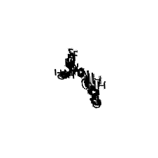 O=C(Nc1ccc(-c2nc(N3C[C@@H]4C[C@H]3CO4)c3cnn(CC(F)(F)F)c3n2)cc1)Nc1ccc(N2CCOCC2)cc1